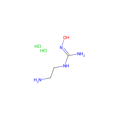 Cl.Cl.NCCNC(N)=NO